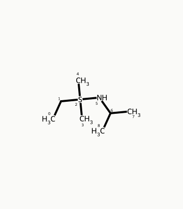 CCS(C)(C)NC(C)C